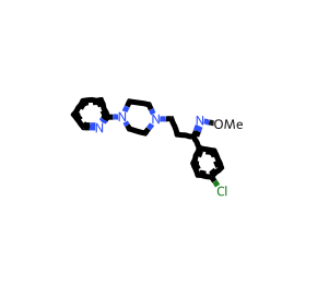 CON=C(CCN1CCN(c2ccccn2)CC1)c1ccc(Cl)cc1